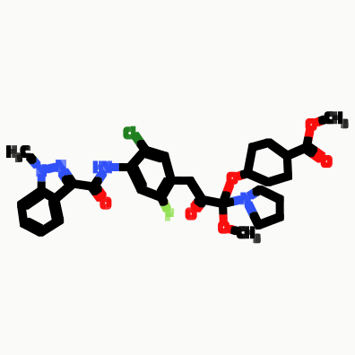 COC(=O)C1CCC(OC(OC)(C(=O)Cc2cc(Cl)c(NC(=O)c3nn(C)c4ccccc34)cc2F)N2CCCC2)CC1